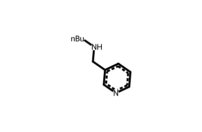 C[CH]CCNCc1cccnc1